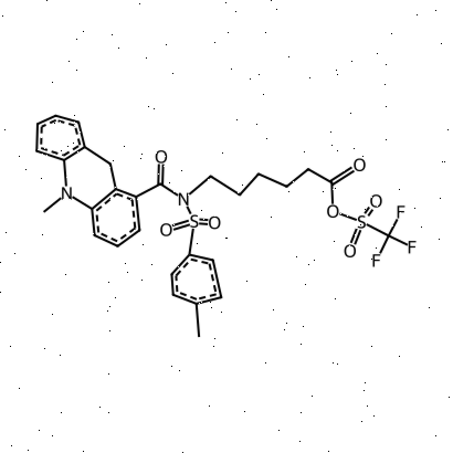 Cc1ccc(S(=O)(=O)N(CCCCCC(=O)OS(=O)(=O)C(F)(F)F)C(=O)c2cccc3c2Cc2ccccc2N3C)cc1